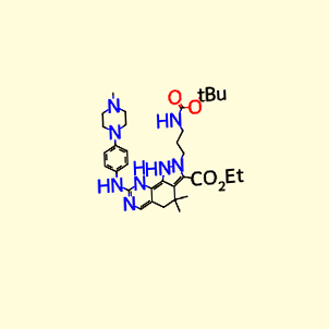 CCOC(=O)C1=C2C(=C3NC(Nc4ccc(N5CCN(C)CC5)cc4)=NC=C3CC2(C)C)NN1CCCNC(=O)OC(C)(C)C